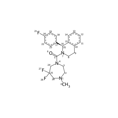 CN1CCN(C(=O)N2CCc3ccccc3[C@@H]2c2ccc(F)cc2)CC(F)(F)C1